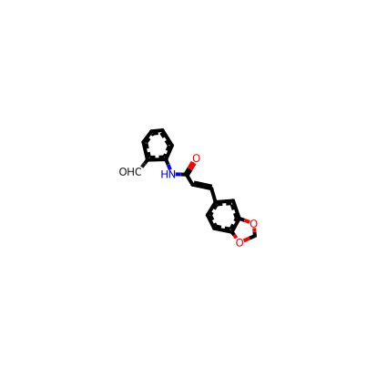 O=Cc1ccccc1NC(=O)/C=C/c1ccc2c(c1)OCO2